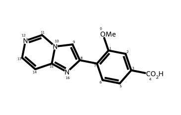 COc1cc(C(=O)O)ccc1-c1cn2cnccc2n1